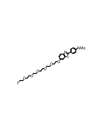 CNc1ccc(-c2nc3ccc(OCCOCCOCCOCCOCCOCCF)cc3s2)cc1